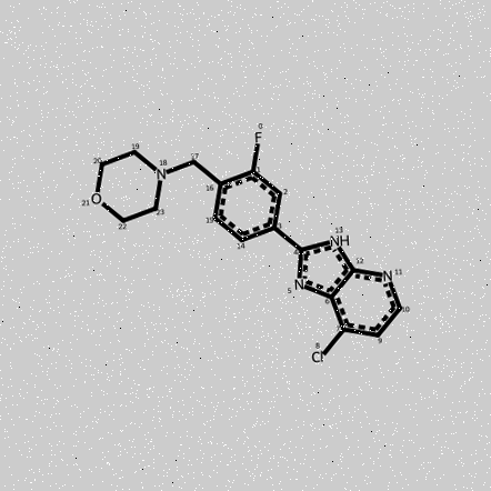 Fc1cc(-c2nc3c(Cl)ccnc3[nH]2)ccc1CN1CCOCC1